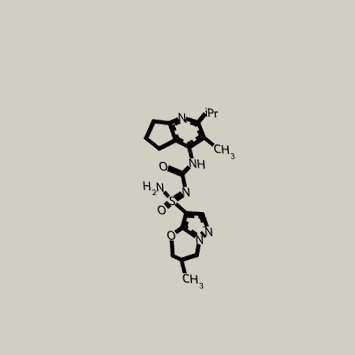 Cc1c(C(C)C)nc2c(c1NC(=O)N=S(N)(=O)c1cnn3c1OCC(C)C3)CCC2